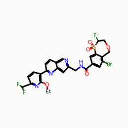 CCOc1nc(C(F)F)ccc1-c1ccc2cnc(CNC(=O)c3cc(Br)c4c(c3)S(=O)(=O)[C@@H](F)COC4)cc2n1